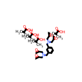 C=C(C)C(=O)O.C=C(C)C(=O)O.C=C(C)C(=O)O.C=C(C)C(=O)O.c1cc(CN(CC2CO2)CC2CO2)cc(CN(CC2CO2)CC2CO2)c1